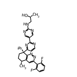 CC(C)[C@]1(c2ccnc(-c3cnc(NC[C@H](C)O)nc3)n2)CC[C@H](C)c2cc(-c3c(F)cccc3F)nnc21